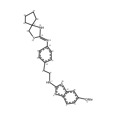 COc1ccc2nc(NCCc3ccc(/N=C4/NC5(CCCC5)CS4)cc3)sc2c1